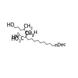 C1CN1.C=C(CCCCCCCCCCCCCCCCCCC)C(=O)O.C=C(CCCO)C(=O)O